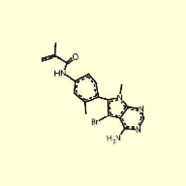 C=C(C)C(=O)Nc1ccc(-c2c(Br)c3c(N)ncnc3n2C)c(C)c1